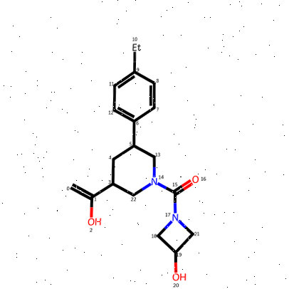 C=C(O)C1CC(c2ccc(CC)cc2)CN(C(=O)N2CC(O)C2)C1